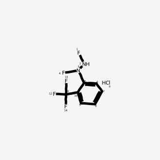 Cl.FNN(F)c1ccccc1C(F)(F)F